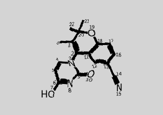 CC1=C(n2ccc(O)nc2=O)c2cc(C#N)ccc2OC1(C)C